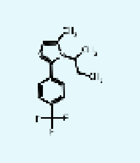 CCC(C)n1c(C)cnc1-c1ccc(C(F)(F)F)cc1